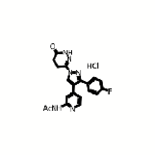 CC(=O)Nc1cc(-c2cn(C3=NNC(=O)CC3)nc2-c2ccc(F)cc2)ccn1.Cl